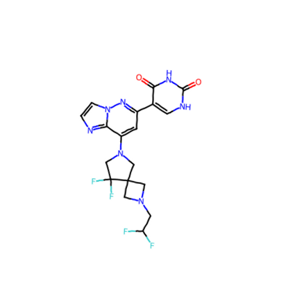 O=c1[nH]cc(-c2cc(N3CC(F)(F)C4(CN(CC(F)F)C4)C3)c3nccn3n2)c(=O)[nH]1